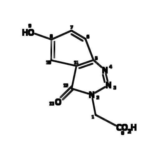 O=C(O)Cn1nnc2ccc(O)cc2c1=O